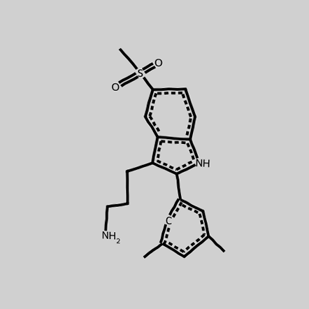 Cc1cc(C)cc(-c2[nH]c3ccc(S(C)(=O)=O)cc3c2CCCN)c1